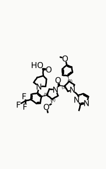 COC[C@H]1CN(C(=O)[C@@H]2CN(c3ccnc(C)n3)C[C@H]2c2ccc(OC)cc2)C[C@@H]1c1ccc(C(F)(F)F)cc1N1CCC(C(=O)O)CC1